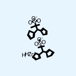 CC(C)(C(C1=CC=CC1)C1=CC=CC1)S(=O)(=O)[O-].CC(C)(C(C1=CC=CC1)C1=CC=CC1)S(=O)(=O)[O-].[H-].[H-].[Zr+4]